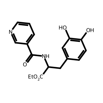 CCOC(=O)C(Cc1ccc(O)c(O)c1)NC(=O)c1cccnc1